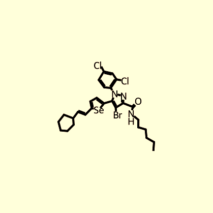 CCCCCCNC(=O)c1nn(-c2ccc(Cl)cc2Cl)c(-c2ccc(C=CC3CCCCC3)[se]2)c1Br